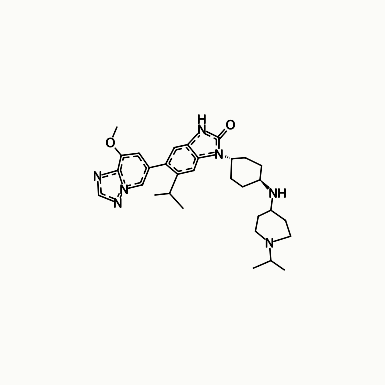 COc1cc(-c2cc3[nH]c(=O)n([C@H]4CC[C@H](NC5CCN(C(C)C)CC5)CC4)c3cc2C(C)C)cn2ncnc12